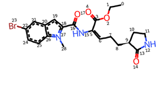 CCOC(=O)C(=CCC[C@H]1CCNC1=O)NC(=O)c1cc2cc(Br)ccc2n1C